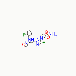 NS(=O)(=O)C1CCN(c2nc(-c3cc(-c4ccon4)n(Cc4ccccc4F)n3)ncc2F)C1